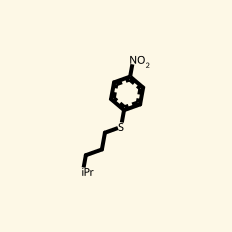 CC(C)CCCSc1ccc([N+](=O)[O-])cc1